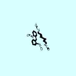 O=C=NCCCCCCN=C=O.O=C=Nc1ccccc1Cc1ccccc1N=C=O